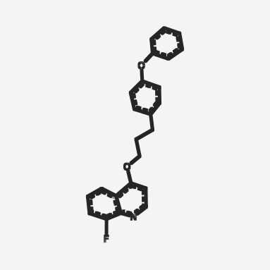 Fc1cccc2c(OCCCc3ccc(Oc4ccccc4)cc3)ccnc12